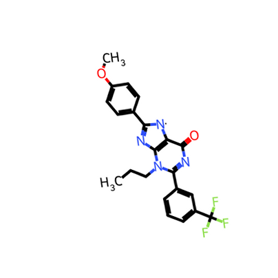 CCCn1c(-c2cccc(C(F)(F)F)c2)nc(=O)c2c1N=C(c1ccc(OC)cc1)[N]2